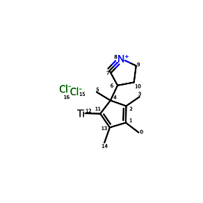 CC1=C(C)C(C)(C2C#[N+]CC2)[C]([Ti])=C1C.[Cl-].[Cl-]